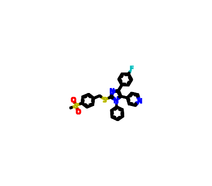 CS(=O)(=O)c1ccc(CSc2nc(-c3ccc(F)cc3)c(-c3ccncc3)n2-c2ccccc2)cc1